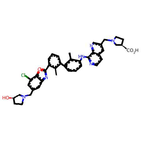 Cc1c(Nc2nccc3cc(CN4CC[C@@H](C(=O)O)C4)cnc23)cccc1-c1cccc(-c2nc3cc(CN4CC[C@@H](O)C4)cc(Cl)c3o2)c1C